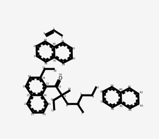 C=CC.CCCC(C)CC(C)(CC)C(=O)c1c(CC)ccc2ccccc12.c1ccc2ccccc2c1.c1ccc2ccccc2c1